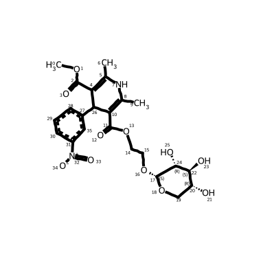 COC(=O)C1=C(C)NC(C)=C(C(=O)OCCO[C@H]2OC[C@@H](O)[C@H](O)[C@H]2O)C1c1cccc([N+](=O)[O-])c1